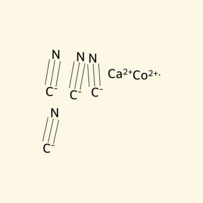 [C-]#N.[C-]#N.[C-]#N.[C-]#N.[Ca+2].[Co+2]